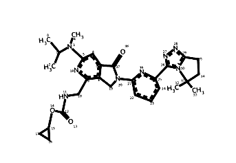 CC(C)N(C)c1cc2c(c(CNC(=O)OC3CC3)n1)CN(c1cccc(-c3nnc4n3C(C)(C)CC4)n1)C2=O